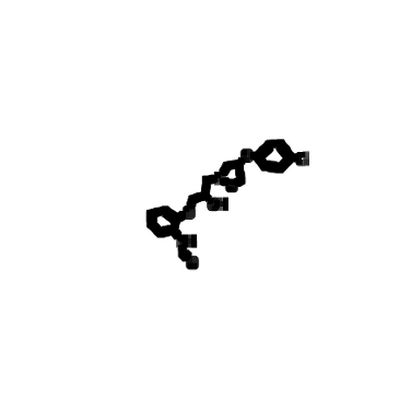 O=CNc1ccccc1OC[C@@H](O)CN1C[C@@H](Oc2ccc(Cl)cc2)CO1